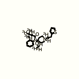 [2H]C([2H])([2H])OC1(N(C(=O)C([2H])([2H])C([2H])([2H])[2H])c2ccccc2)CCN(C([2H])([2H])Cc2cccs2)CC1